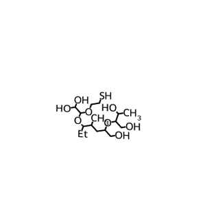 CCC(OC(OCCS)C(O)O)C(C)CC(CO)OC(CO)C(C)O